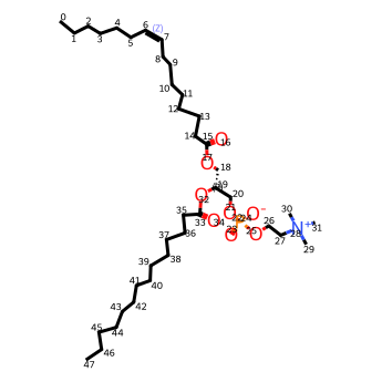 CCCCCC/C=C\CCCCCCCC(=O)OC[C@H](COP(=O)([O-])OCC[N+](C)(C)C)OC(=O)CCCCCCCCCCCCC